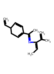 C=CC1C=CC(/C(C)=N/C(=C\C)C(=C)C)=CC1